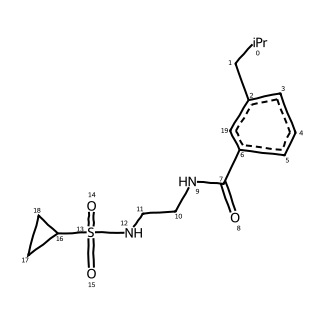 CC(C)Cc1cccc(C(=O)NCCNS(=O)(=O)C2CC2)c1